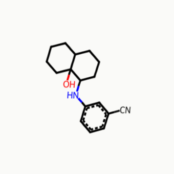 N#Cc1cccc(NC2CCCC3CCCCC32O)c1